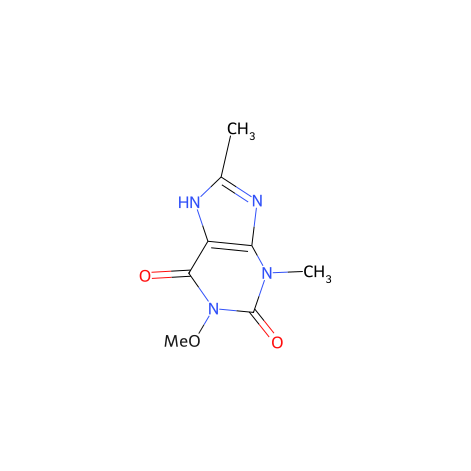 COn1c(=O)c2[nH]c(C)nc2n(C)c1=O